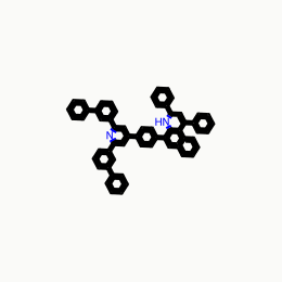 C1=C(c2ccccc2)c2c(c(-c3ccc(-c4cc(-c5cccc(-c6ccccc6)c5)nc(-c5cccc(-c6ccccc6)c5)c4)cc3)cc3ccccc23)NC1c1ccccc1